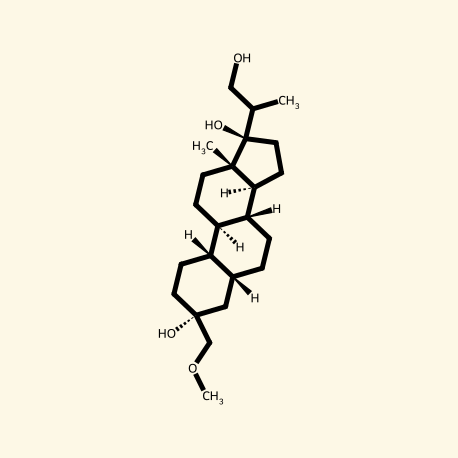 COC[C@@]1(O)CC[C@H]2[C@H](CC[C@@H]3[C@@H]2CC[C@@]2(C)[C@H]3CC[C@@]2(O)C(C)CO)C1